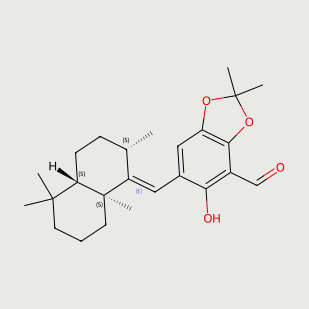 C[C@H]1CC[C@H]2C(C)(C)CCC[C@]2(C)/C1=C/c1cc2c(c(C=O)c1O)OC(C)(C)O2